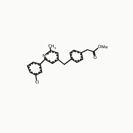 COC(=O)Cc1ccc(Cc2cc(C)nc(-c3cccc(Cl)c3)c2)cc1